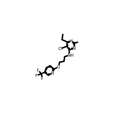 CCc1nc(C)nc(NCCCOc2ccc(C(F)(F)F)cn2)c1Cl